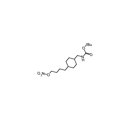 CC(C)(C)OC(=O)NCC1CCC(CCCCO[N+](=O)[O-])CC1